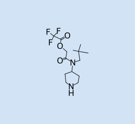 CC(C)(C)CN(C(=O)COC(=O)C(F)(F)F)C1CCNCC1